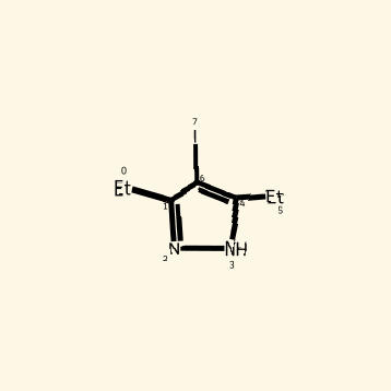 CCc1n[nH]c(CC)c1I